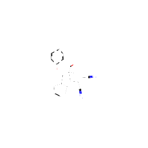 N#CCCC1(CCC#N)C(=O)c2ccccc2OC1C1CC=CCC1